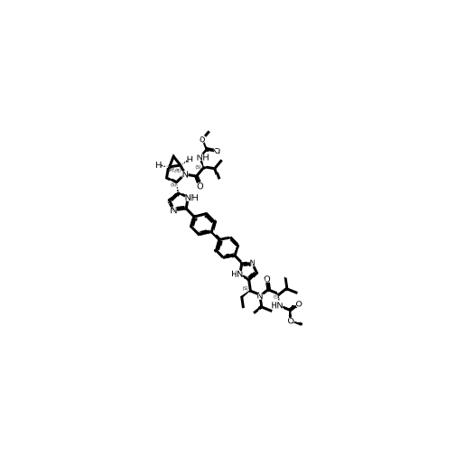 CC[C@@H](c1cnc(-c2ccc(-c3ccc(-c4ncc([C@@H]5C[C@H]6C[C@H]6N5C(=O)[C@@H](NC(=O)OC)C(C)C)[nH]4)cc3)cc2)[nH]1)N(C(=O)[C@@H](NC(=O)OC)C(C)C)C(C)C